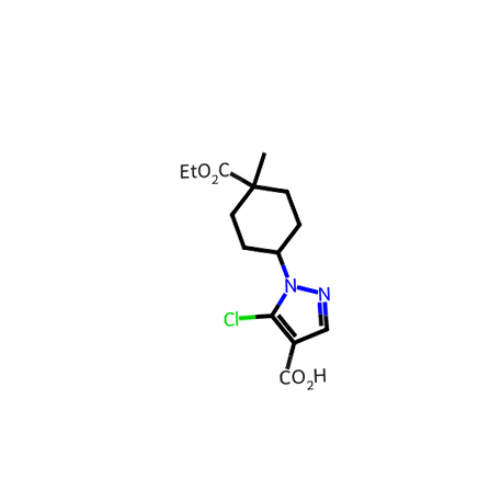 CCOC(=O)C1(C)CCC(n2ncc(C(=O)O)c2Cl)CC1